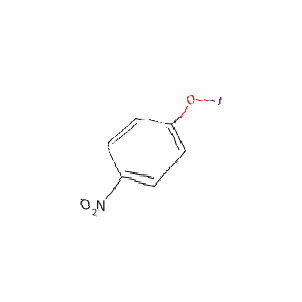 O=[N+]([O-])c1ccc(OI)cc1